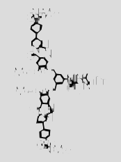 CNS(=O)(=O)c1ccc(C2=CCN3C(=O)c4cc(OC)c(OCc5cc(COc6cc7c(cc6OC)C(=O)N6CC=C(c8ccc(S(=O)(=O)NC)cc8)C[C@H]6C=N7)cc(NC(=O)[C@H](C)NC(C)[C@@H](N)C(C)C)c5)cc4N=C[C@@H]3C2)cc1